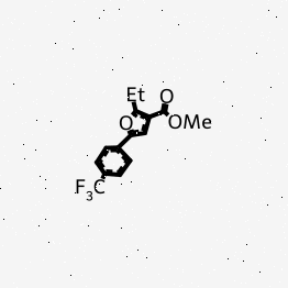 CCc1oc(-c2ccc(C(F)(F)F)cc2)cc1C(=O)OC